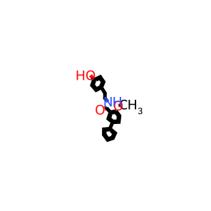 COc1ccc(-c2ccccc2)cc1C(=O)NCCc1ccc(O)cc1